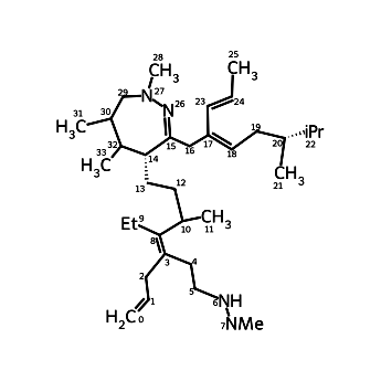 C=CC/C(CCNNC)=C(\CC)C(C)CC[C@H]1C(CC(=C/C[C@@H](C)C(C)C)/C=C/C)=NN(C)CC(C)C1C